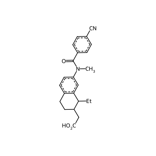 CCC1c2cc(N(C)C(=O)c3ccc(C#N)cc3)ccc2CCC1CC(=O)O